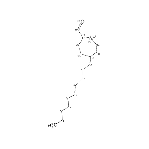 CCCCCCCCCCC1CCNC(C=O)CC1